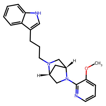 COc1cccnc1N1C[C@H]2C[C@@H]1CN2CCCc1c[nH]c2ccccc12